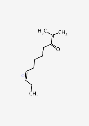 CC/C=C\CCCCC(=O)N(C)C